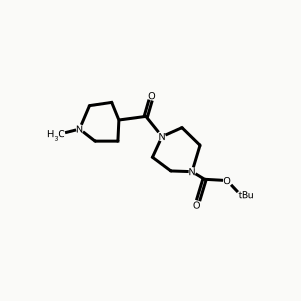 CN1CCC(C(=O)N2CCN(C(=O)OC(C)(C)C)CC2)CC1